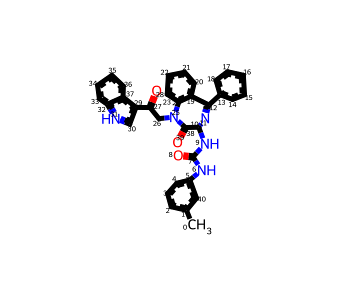 Cc1cccc(NC(=O)NC2N=C(c3ccccc3)c3ccccc3N(CC(=O)c3c[nH]c4ccccc34)C2=O)c1